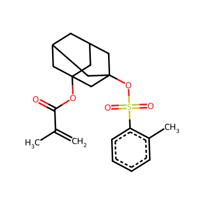 C=C(C)C(=O)OC12CC3CC(C1)CC(OS(=O)(=O)c1ccccc1C)(C3)C2